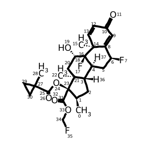 C[C@@H]1C[C@H]2[C@@H]3C[C@H](F)C4=CC(=O)C=C[C@]4(C)[C@@]3(F)[C@@H](O)C[C@]2(C)[C@@]1(OC(=O)C1(C)CC1)C(=O)OCF